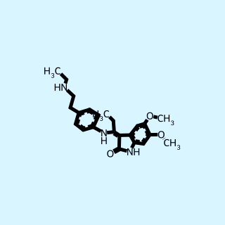 CCNCCc1ccc(N/C(CC)=C2\C(=O)Nc3cc(OC)c(OC)cc32)cc1